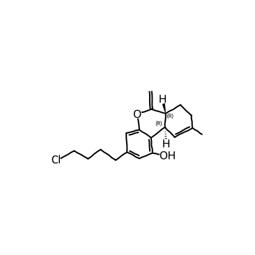 C=C1Oc2cc(CCCCCl)cc(O)c2[C@@H]2C=C(C)CC[C@@H]12